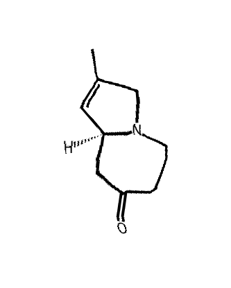 CC1=C[C@@H]2CC(=O)CCN2C1